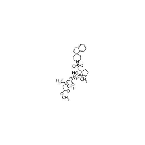 COC(=O)C[N+](C)(C)CC(=O)NCC1(O)CC2CCC1(CS(=O)(=O)N1CCC3(C=Cc4ccccc43)CC1)C2(C)C